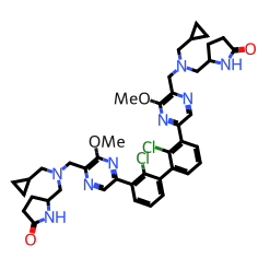 COc1nc(-c2cccc(-c3cccc(-c4cnc(CN(CC5CC5)CC5CCC(=O)N5)c(OC)n4)c3Cl)c2Cl)cnc1CN(CC1CC1)CC1CCC(=O)N1